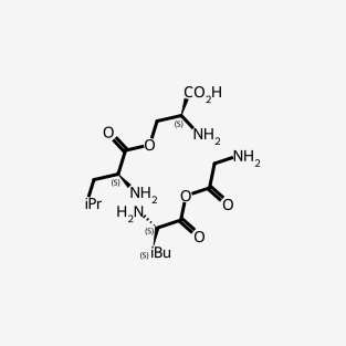 CC(C)C[C@H](N)C(=O)OC[C@H](N)C(=O)O.CC[C@H](C)[C@H](N)C(=O)OC(=O)CN